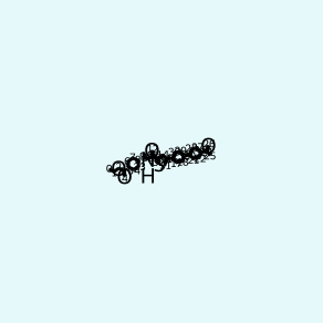 CCOC(=O)[C@H]1CC[C@H](CNC(=O)c2cc(-c3ccc(-c4ccc(C(C)=O)cc4)cc3)cs2)CC1